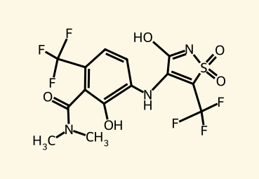 CN(C)C(=O)c1c(C(F)(F)F)ccc(NC2=C(C(F)(F)F)S(=O)(=O)N=C2O)c1O